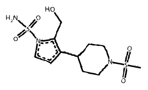 CS(=O)(=O)N1CCC(c2ccn(S(N)(=O)=O)c2CO)CC1